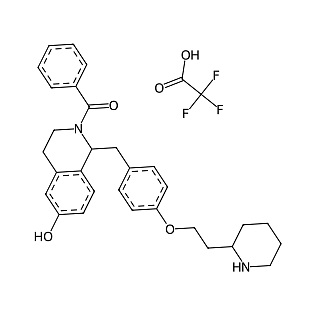 O=C(O)C(F)(F)F.O=C(c1ccccc1)N1CCc2cc(O)ccc2C1Cc1ccc(OCCC2CCCCN2)cc1